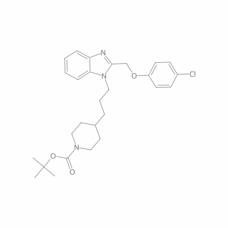 CC(C)(C)OC(=O)N1CCC(CCCn2c(COc3ccc(Cl)cc3)nc3ccccc32)CC1